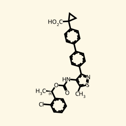 Cc1snc(-c2ccc(-c3ccc(C4(C(=O)O)CC4)cc3)cc2)c1NC(=O)O[C@H](C)c1ccccc1Cl